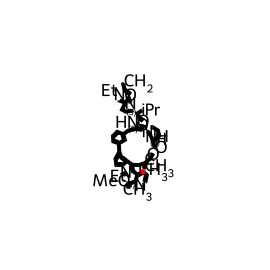 C=CC(=O)N(CC)CC12CC[C@@H](C(C(=O)N[C@H]3Cc4cccc(c4)-c4ccc5c(c4)c(c(-c4cccnc4[C@H](C)OC)n5CC)CC(C)(C)COC(=O)[C@@H]4CCCN(N4)C3=O)C(C)C)N1C2